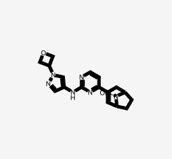 O=CN1C2C=C(c3ccnc(Nc4cnn(C5COC5)c4)n3)CC1CC2